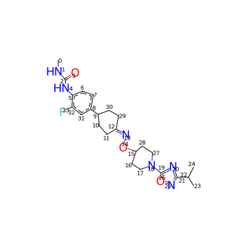 CNC(=O)Nc1ccc(C2CCC(=NOC3CCN(c4nc(C(C)C)no4)CC3)CC2)cc1F